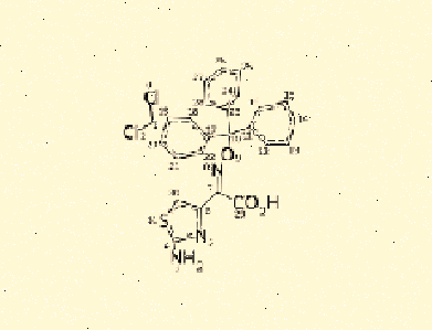 ClCCl.Nc1nc(/C(=N/OC(c2ccccc2)(c2ccccc2)c2ccccc2)C(=O)O)cs1